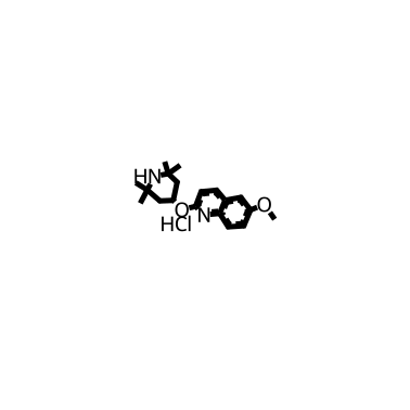 COc1ccc2nc(OC3CC(C)(C)NC(C)(C)C3)ccc2c1.Cl